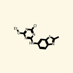 CCOc1nc(Cl)nc(Nc2ccc3nc(C)sc3c2)n1